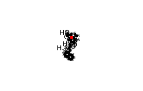 CC(=C[C@H](C(C)C)N(C)C(=O)[C@@H](NC(=O)[C@@H](N)Cc1c(I)ccc2ccccc12)C(C)(C)C)C(=O)O